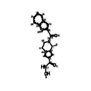 CC1c2cc(C(=O)NO)cn2CCN1C(=O)c1cc2ccccc2s1